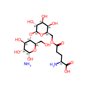 N.N[C@@H](CCC(=O)OC[C@H]1O[C@@H](O[C@H]2[C@H](O)[C@@H](O)[C@@H](O)O[C@@H]2CO)[C@H](O)[C@@H](O)[C@H]1O)C(=O)O